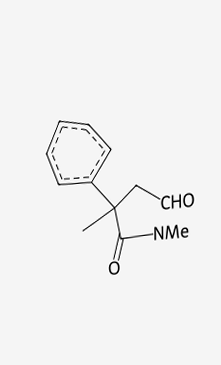 CNC(=O)C(C)(CC=O)c1ccccc1